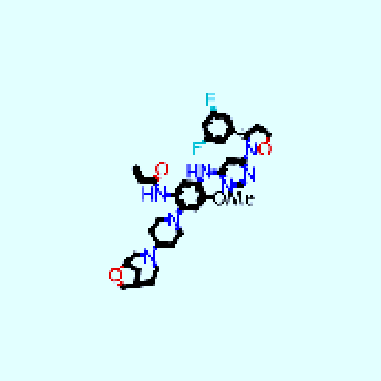 C=CC(=O)Nc1cc(Nc2cc(N3OCC[C@@H]3c3cc(F)cc(F)c3)ncn2)c(OC)cc1N1CCC(N2CCC3COC(C3)C2)CC1